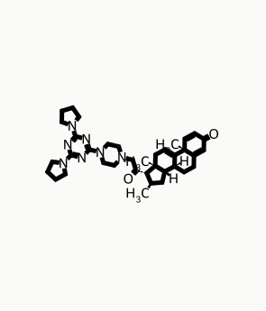 C[C@@H]1C[C@H]2[C@@H]3CCC4=CC(=O)C=C[C@]4(C)C3=CC[C@]2(C)[C@H]1C(=O)CN1CCN(c2nc(N3CCCC3)nc(N3CCCC3)n2)CC1